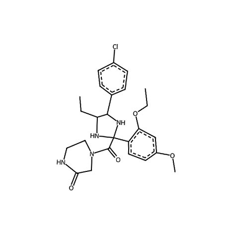 CCOc1cc(OC)ccc1C1(C(=O)N2CCNC(=O)C2)NC(CC)C(c2ccc(Cl)cc2)N1